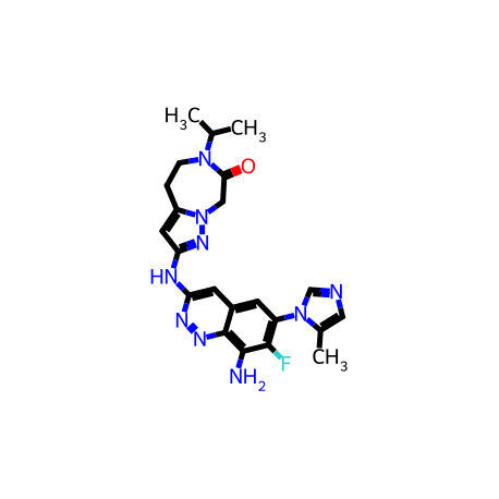 Cc1cncn1-c1cc2cc(Nc3cc4n(n3)CC(=O)N(C(C)C)CC4)nnc2c(N)c1F